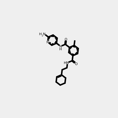 Cc1ccc(C(=O)NCCC2=CCCCC2)cc1C(=O)Nc1ccc(N)nc1